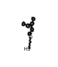 SCCCCCCCCOc1cccc(-c2cccc(-n3c4ccc(-c5ccccc5)cc4c4cc(-c5ccccc5)ccc43)c2)c1